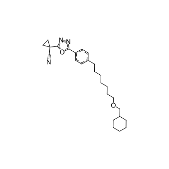 N#CC1(c2nnc(-c3ccc(CCCCCCCOCC4CCCCC4)cc3)o2)CC1